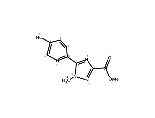 COC(=O)c1nc(-c2ccc(C#N)cn2)n(C)n1